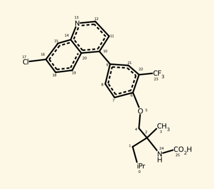 CC(C)CC(C)(COc1ccc(-c2ccnc3cc(Cl)ccc23)cc1C(F)(F)F)NC(=O)O